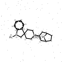 CCOC(=O)N1C2CCC1CC(N1CCC3(CC1)CN(C(C)=O)c1ccccc13)C2